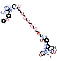 C[C@@H]1COCCN1c1nc(N2CCOC[C@H]2C)c2ccc(-c3cccc(C(=O)NCCOCCOCCOCCOCCOCCOC/C=C/C(=O)N4CCC[C@@H](n5nc(-c6ccc(Oc7ccccc7)cc6)c6c(N)ncnc65)C4)c3)nc2n1